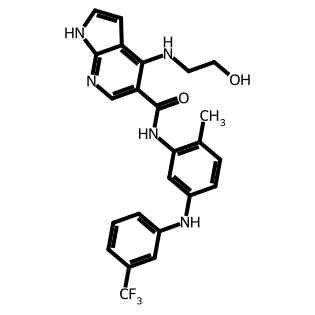 Cc1ccc(Nc2cccc(C(F)(F)F)c2)cc1NC(=O)c1cnc2[nH]ccc2c1NCCO